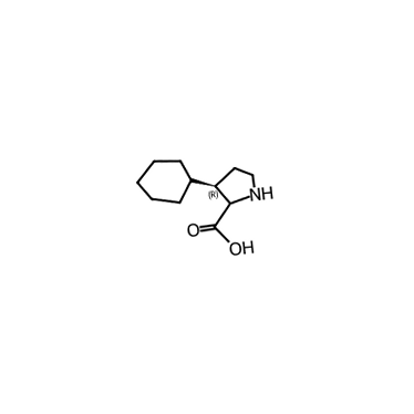 O=C(O)C1NCC[C@@H]1C1CCCCC1